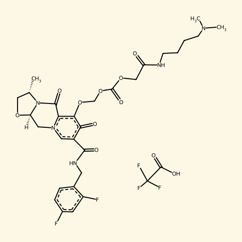 C[C@H]1CO[C@@H]2Cn3cc(C(=O)NCc4ccc(F)cc4F)c(=O)c(OCOC(=O)OCC(=O)NCCCCN(C)C)c3C(=O)N12.O=C(O)C(F)(F)F